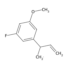 [CH2]C(C=C)c1cc(F)cc(OC)c1